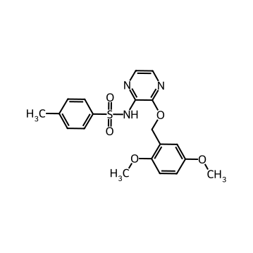 COc1ccc(OC)c(COc2nccnc2NS(=O)(=O)c2ccc(C)cc2)c1